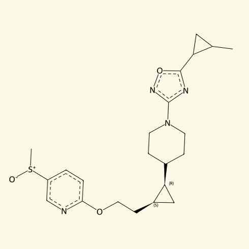 CC1CC1c1nc(N2CCC([C@H]3C[C@H]3CCOc3ccc([S+](C)[O-])cn3)CC2)no1